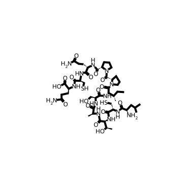 CC[C@H](C)[C@H](NC(=O)[C@H](CO)NC(=O)[C@H](C)NC(=O)[C@@H](NC(=O)[C@H](CS)NC(=O)[C@@H](N)CC(C)C)[C@@H](C)O)C(=O)N1CCC[C@H]1C(=O)N1CCC[C@H]1C(=O)N[C@@H](CCC(N)=O)C(=O)N[C@@H](CS)C(=O)N[C@@H](CCC(N)=O)C(=O)O